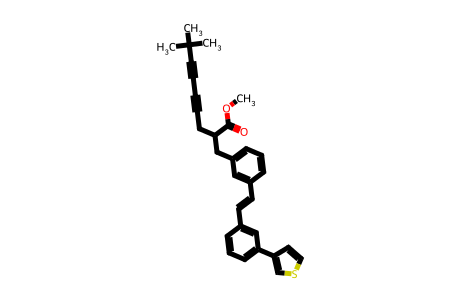 COC(=O)C(CC#CC#CC(C)(C)C)Cc1cccc(C=Cc2cccc(-c3ccsc3)c2)c1